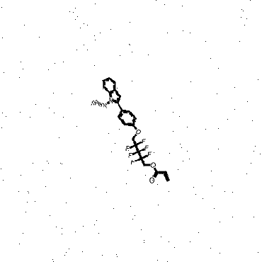 C=CC(=O)OCC(F)(F)C(F)(F)C(F)(F)COc1ccc(-c2cc3ccccc3n2CCCCC)cc1